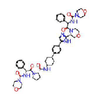 O=C(NC1CCC(c2ccc(-c3cnc([C@@H]4COCCN4C(=O)C(NC(=O)N4CCOCC4)c4ccccc4)[nH]3)cc2)CC1)[C@@H]1CCCN1C(=O)[C@@H](NC(=O)N1CCOCC1)c1ccccc1